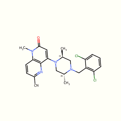 C[C@@H]1CN(c2cc(=O)n(C)c3ccc(C#N)nc23)[C@@H](C)CN1Cc1c(Cl)cccc1Cl